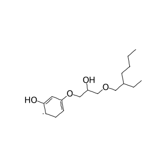 CCCCC(CC)COCC(O)COC1=CC[CH]C(O)=C1